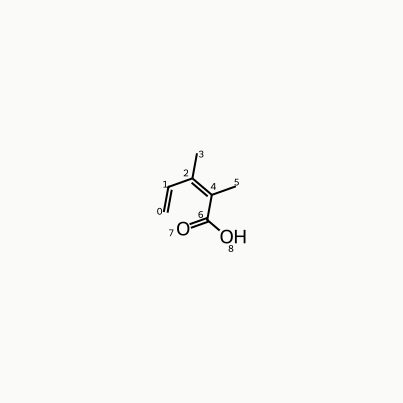 C=CC(C)=C(C)C(=O)O